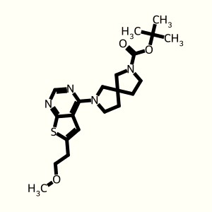 COCCc1cc2c(N3CCC4(CCN(C(=O)OC(C)(C)C)C4)C3)ncnc2s1